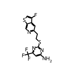 Nc1cc(C(F)(F)F)nc(SCCc2cc3c(F)csc3cn2)n1